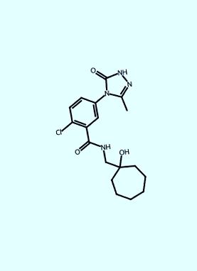 Cc1n[nH]c(=O)n1-c1ccc(Cl)c(C(=O)NCC2(O)CCCCCC2)c1